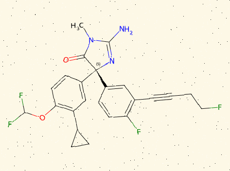 CN1C(=O)[C@@](c2ccc(F)c(C#CCCF)c2)(c2ccc(OC(F)F)c(C3CC3)c2)N=C1N